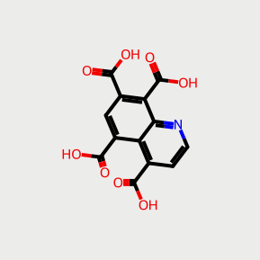 O=C(O)c1cc(C(=O)O)c2c(C(=O)O)ccnc2c1C(=O)O